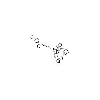 CCOC(=O)c1cccc(-n2cc(Cc3cncnc3)c(=O)nc2SCCCCCCCC(=O)c2ccc(Cl)cc2)c1